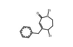 CCC1CCN(CC)C(=O)C=C1Cc1ccccc1